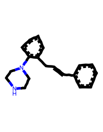 C(=Cc1ccccc1)Cc1ccccc1N1CCNCC1